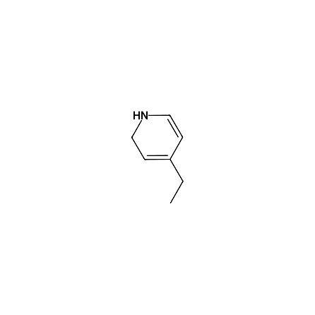 CCC1=CCNC=C1